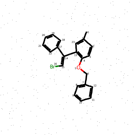 Cc1ccc(OCc2ccccc2)c(/C(=C/Br)c2ccccc2)c1